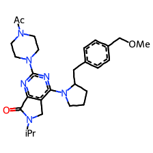 COCc1ccc(CC2CCCN2c2nc(N3CCN(C(C)=O)CC3)nc3c2CN(C(C)C)C3=O)cc1